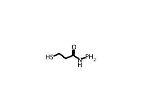 O=C(CCS)NP